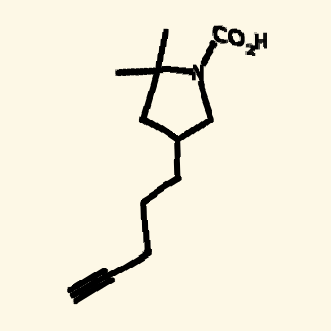 C#CCCCC1CN(C(=O)O)C(C)(C)C1